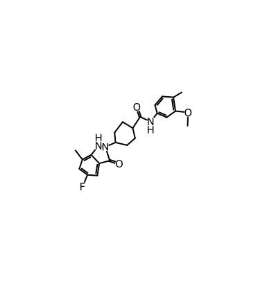 COc1cc(NC(=O)C2CCC(n3[nH]c4c(C)cc(F)cc4c3=O)CC2)ccc1C